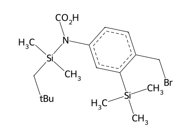 CC(C)(C)C[Si](C)(C)N(C(=O)O)c1ccc(CBr)c([Si](C)(C)C)c1